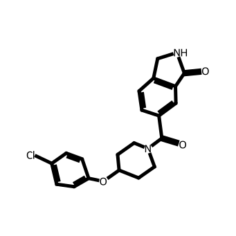 O=C1NCc2ccc(C(=O)N3CCC(Oc4ccc(Cl)cc4)CC3)cc21